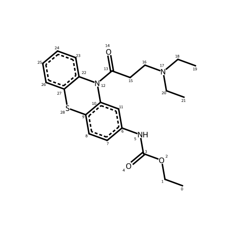 CCOC(=O)Nc1ccc2c(c1)N(C(=O)CCN(CC)CC)c1ccccc1S2